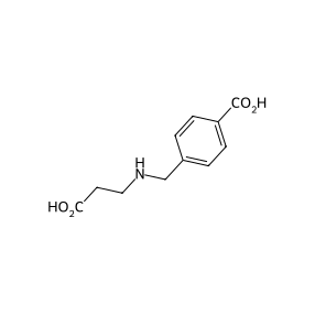 O=C(O)CCNCc1ccc(C(=O)O)cc1